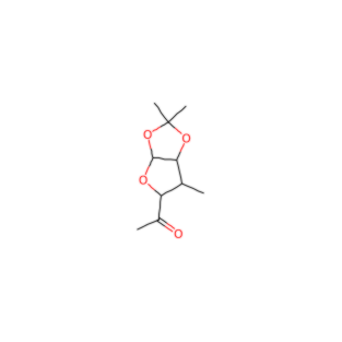 CC(=O)C1OC2OC(C)(C)OC2C1C